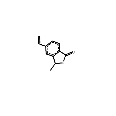 C=Cc1ccc2c(c1)C(C)OC2=O